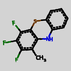 Cc1c(F)c(F)c(F)c2c1Nc1ccccc1S2